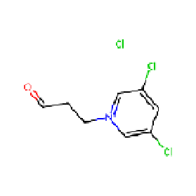 O=CCC[n+]1cc(Cl)cc(Cl)c1.[Cl-]